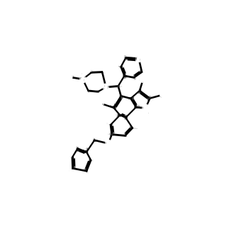 CCOC(=O)c1c(C)oc2c1c(C(c1ccncc1)N1CCN(C)CC1)c(O)c1cc(OCc3ccccc3)ccc12